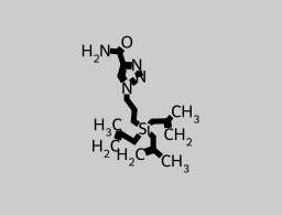 C=C(C)C[Si](CCCn1cc(C(N)=O)nn1)(CC(=C)C)CC(=C)C